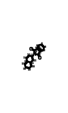 O=C1C2C3C=CC(CC3)C2C(=O)N1c1ccc2ccccc2c1